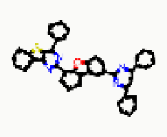 c1ccc(-c2cc(-c3ccccc3)nc(-c3ccc4oc5c(-c6nc(-c7ccccc7)c7sc8ccccc8c7n6)cccc5c4c3)n2)cc1